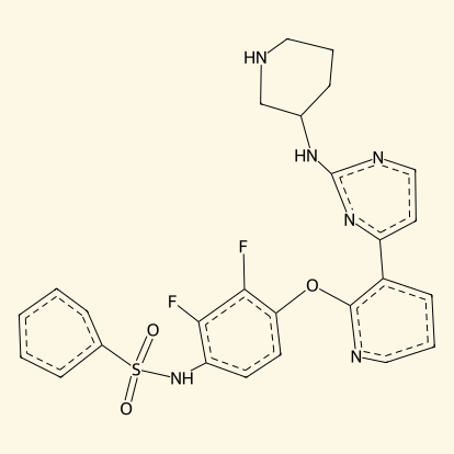 O=S(=O)(Nc1ccc(Oc2ncccc2-c2ccnc(NC3CCCNC3)n2)c(F)c1F)c1ccccc1